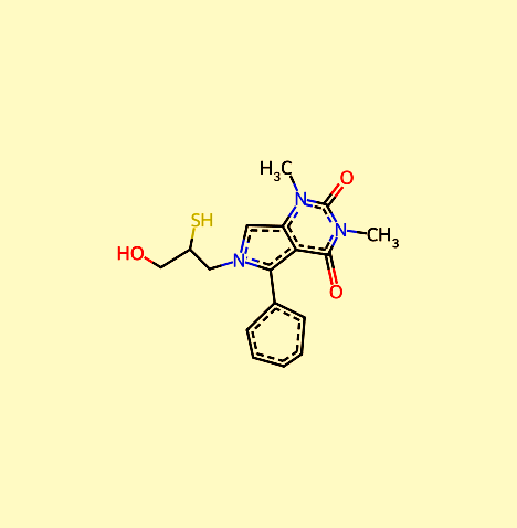 Cn1c(=O)c2c(-c3ccccc3)n(CC(S)CO)cc2n(C)c1=O